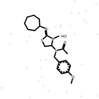 COc1ccc(CN(C(C)=O)C2CSC(=NC3CCCCCC3)N2C)cc1.Cl